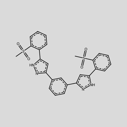 CS(=O)(=O)c1ccccc1-c1cc(-c2cccc(-c3cc(-c4ccccc4S(C)(=O)=O)[nH]n3)c2)n[nH]1